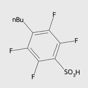 CCCCc1c(F)c(F)c(S(=O)(=O)O)c(F)c1F